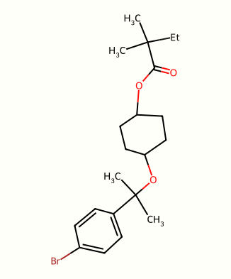 CCC(C)(C)C(=O)OC1CCC(OC(C)(C)c2ccc(Br)cc2)CC1